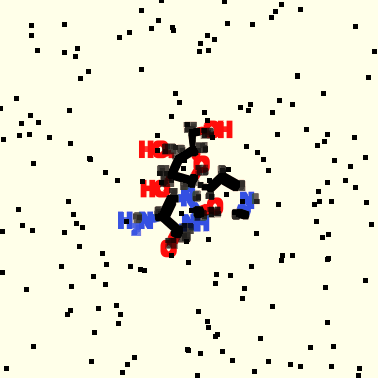 C#N.C=CC[C@@]1(n2cc(N)c(=O)[nH]c2=O)O[C@H](CO)[C@@H](O)[C@H]1O